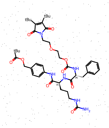 CC(C)(C)C(=O)OCc1ccc(NC(=O)[C@H](CCCNC(N)=O)NC(=O)[C@@H](Cc2ccccc2)NC(=O)OCCOCCN2C(=O)C(C(C)(C)C)=C(C(C)(C)C)C2=O)cc1